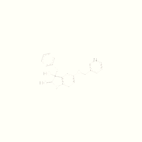 OC1Sc2ccc(OCc3cccnc3)cc2C1(O)Sc1ccccc1